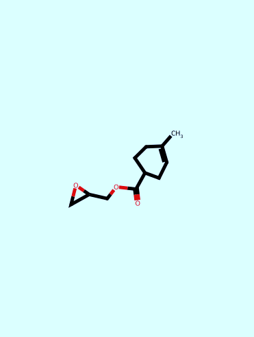 CC1=CCC(C(=O)OCC2CO2)CC1